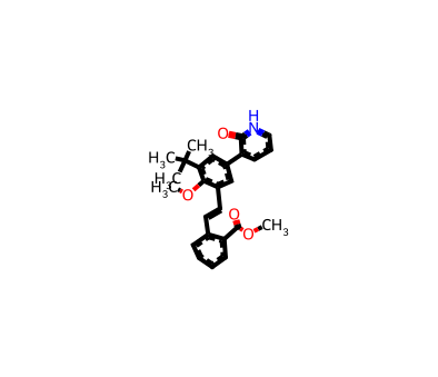 COC(=O)c1ccccc1C=Cc1cc(-c2ccc[nH]c2=O)cc(C(C)(C)C)c1OC